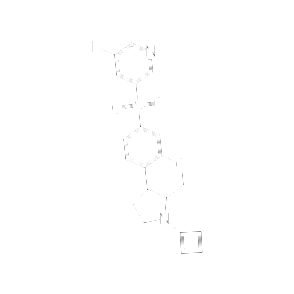 O=S(=O)(c1cncc(F)c1)c1ccc2c(c1)OCC1C2CCN1C1=CC=C1